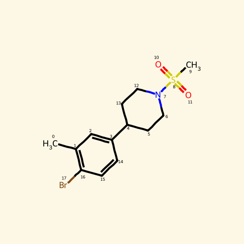 Cc1cc(C2CCN(S(C)(=O)=O)CC2)ccc1Br